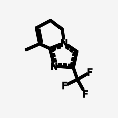 CC1=CCCn2cc(C(F)(F)F)nc21